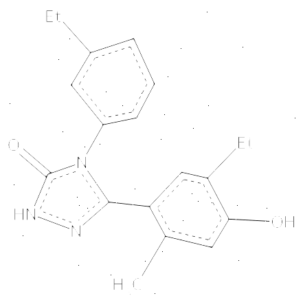 CCc1cccc(-n2c(-c3cc(CC)c(O)cc3C)n[nH]c2=O)c1